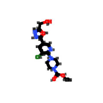 CC(C)(C)OC(=O)N1CCN(c2ncc(-c3nnc(CO)o3)cc2Cl)CC1